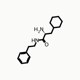 N[C@H](CC1CCCCC1)C(=O)NCCc1ccccc1